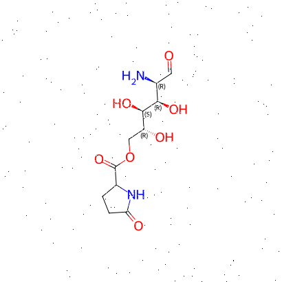 N[C@@H](C=O)[C@@H](O)[C@H](O)[C@H](O)COC(=O)C1CCC(=O)N1